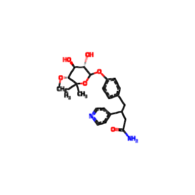 CO[C@@H]1[C@@H](O)[C@H](O)C(Oc2ccc(CC(CC(N)=O)c3ccncc3)cc2)OC1(C)C